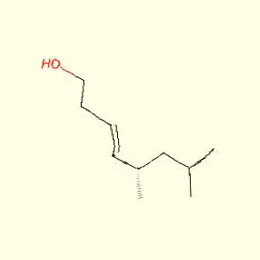 CC(C)C[C@H](C)/C=C/CCO